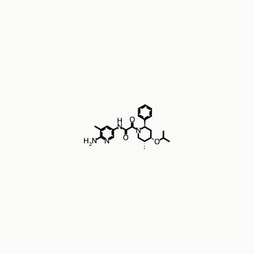 Cc1cc(NC(=O)C(=O)N2C[C@@H](C)[C@@H](OC(C)C)C[C@@H]2c2ccccc2)cnc1N